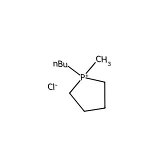 CCCC[P+]1(C)CCCC1.[Cl-]